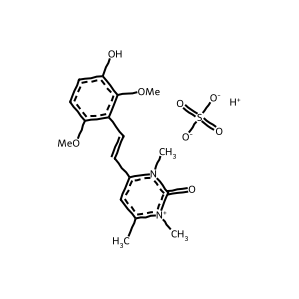 COc1ccc(O)c(OC)c1/C=C/c1cc(C)[n+](C)c(=O)n1C.O=S(=O)([O-])[O-].[H+]